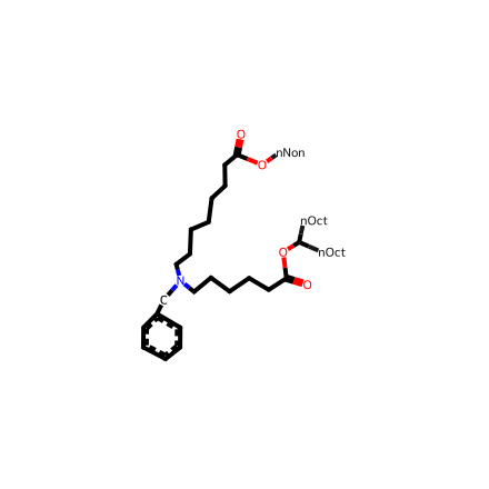 CCCCCCCCCOC(=O)CCCCCCCN(CCCCCC(=O)OC(CCCCCCCC)CCCCCCCC)Cc1ccccc1